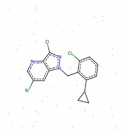 Clc1cccc(C2CC2)c1Cn1nc(Cl)c2ncc(Br)cc21